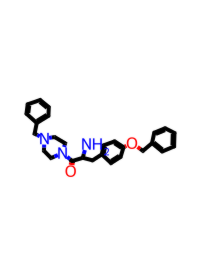 NC(Cc1ccc(OCc2ccccc2)cc1)C(=O)N1CCN(Cc2ccccc2)CC1